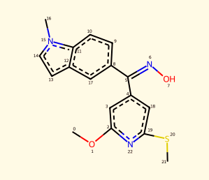 COc1cc(C(=NO)c2ccc3c(ccn3C)c2)cc(SC)n1